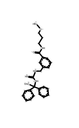 CCCCOCCCNC(=O)c1cccc(CNC(=N)NC(C=O)(c2ccccc2)c2ccccc2)c1